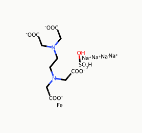 O=C([O-])CN(CCN(CC(=O)[O-])CC(=O)[O-])CC(=O)[O-].O=S(=O)(O)O.[Fe].[Na+].[Na+].[Na+].[Na+]